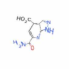 NC(=O)c1cc(C(=O)O)c2cn[nH]c2n1